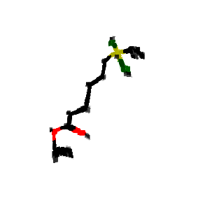 CCCCCOC(=O)CCCCCS(C)(Cl)Cl